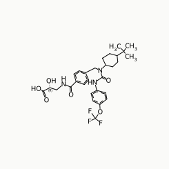 CC(C)(C)C1CCC(N(Cc2ccc(C(=O)NC[C@@H](O)C(=O)O)cc2)C(=O)Nc2ccc(OC(F)(F)F)cc2)CC1